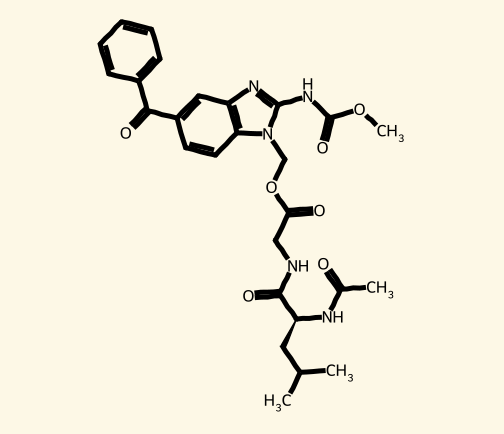 COC(=O)Nc1nc2cc(C(=O)c3ccccc3)ccc2n1COC(=O)CNC(=O)[C@H](CC(C)C)NC(C)=O